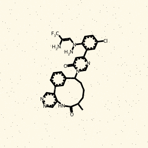 CC1CCCC(n2cnc(-c3cc(Cl)ccc3N(N)/C=C(\N)C(F)(F)F)cc2=O)c2cccc(c2)-c2cnncc2NC1=O